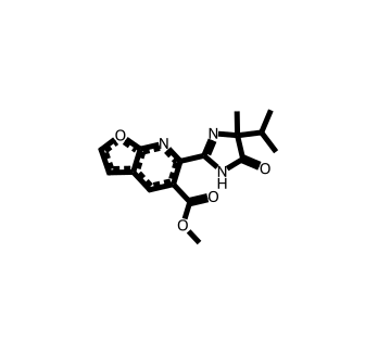 COC(=O)c1cc2ccoc2nc1C1=NC(C)(C(C)C)C(=O)N1